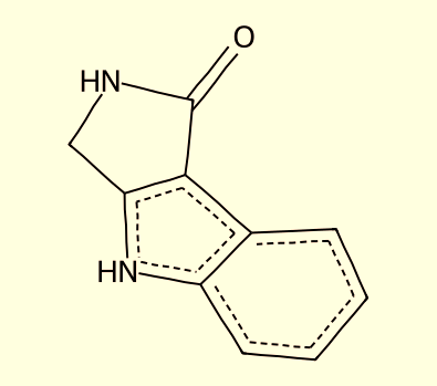 O=C1NCc2[nH]c3ccccc3c21